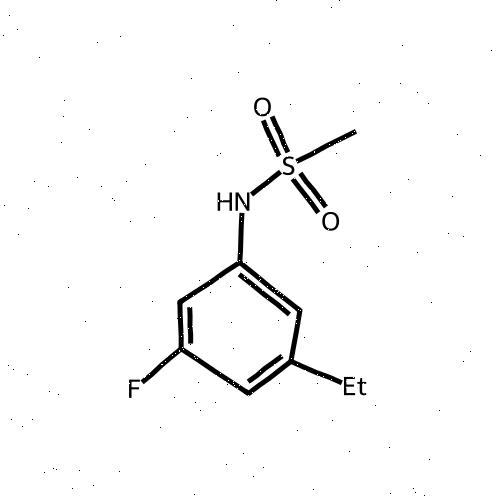 CCc1cc(F)cc(NS(C)(=O)=O)c1